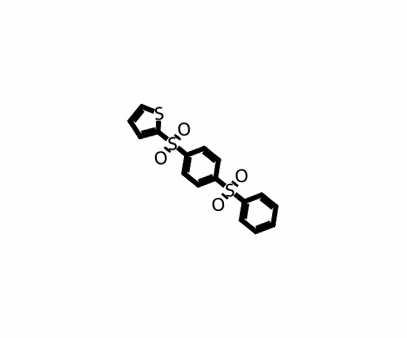 O=S(=O)(c1ccccc1)c1ccc(S(=O)(=O)c2cccs2)cc1